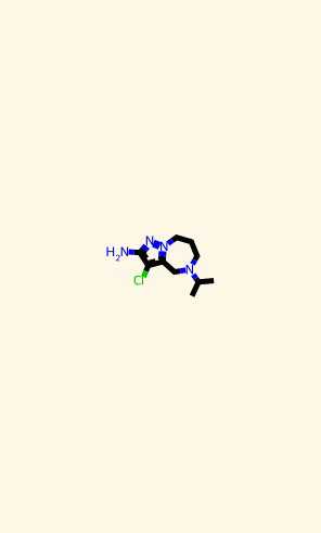 CC(C)N1CCCn2nc(N)c(Cl)c2C1